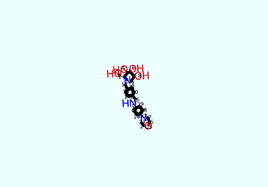 OC[C@@H]1[C@@H](O)[C@H](O)[C@@H](O)CN1Cc1ccc(CNc2ccc(N3CCOCC3)cc2)cc1